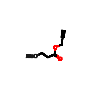 C#CCOC(=O)CCOC